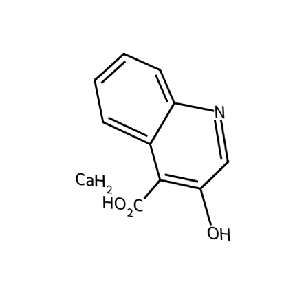 O=C(O)c1c(O)cnc2ccccc12.[CaH2]